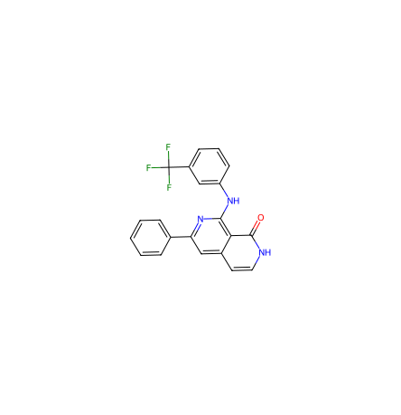 O=c1[nH]ccc2cc(-c3ccccc3)nc(Nc3cccc(C(F)(F)F)c3)c12